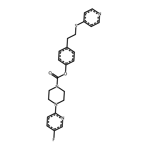 O=C(Oc1ccc(CCSc2ccncc2)cc1)N1CCN(c2ccc(F)cn2)CC1